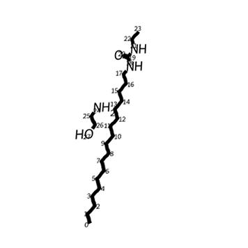 CCCCCCCCCCCCCCCCCCNC(=O)NCC.NCCO